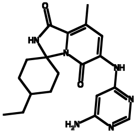 CCC1CCC2(CC1)NC(=O)c1c(C)cc(Nc3cc(N)ncn3)c(=O)n12